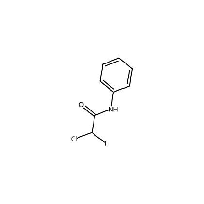 O=C(Nc1ccccc1)C(Cl)I